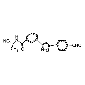 C[C@H](C#N)NC(=O)c1cccc(-c2cc(-c3ccc(C=O)cc3)on2)c1